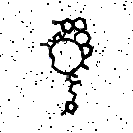 CO[C@H]1/C=C/CCC[S@@](=O)(NC(=O)CCc2nnc(C)s2)=NC(=O)c2ccc3c(c2)N(C[C@@H]2CC[C@H]21)C[C@@]1(CCCc2cc(Cl)ccc21)CO3